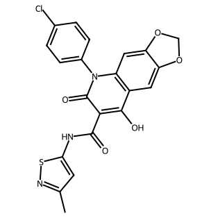 Cc1cc(NC(=O)c2c(O)c3cc4c(cc3n(-c3ccc(Cl)cc3)c2=O)OCO4)sn1